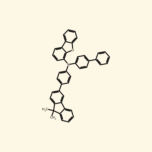 CC1(C)c2ccccc2-c2cc(-c3ccc(N(c4ccc(-c5ccccc5)cc4)c4cccc5c4oc4ccccc45)cc3)ccc21